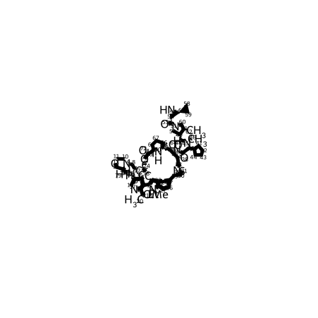 CCn1c(-c2cc(N3CCN4CCOC[C@@H]4C3)cnc2[C@H](C)OC)c2c3cc(ccc31)-c1csc(n1)C[C@H](NC(=O)[C@H](C1CCCC1)N(C)C(=O)[C@H]1CN(C(=O)[C@@H]3N[C@@H]3C3CC3)C[C@H]1C)C(=O)N1CCC[C@H](N1)C(=O)OCC(C)(C)C2